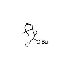 CC(C)COC(CCl)OC1C=CCC1(C)C